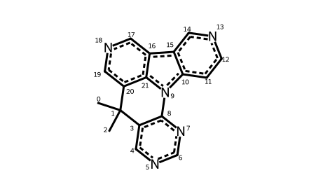 CC1(C)c2cncnc2-n2c3ccncc3c3cncc1c32